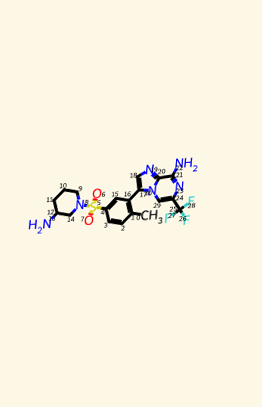 Cc1ccc(S(=O)(=O)N2CCCC(N)C2)cc1-c1cnc2c(N)nc(C(F)(F)F)cn12